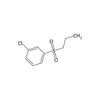 CCCS(=O)(=O)c1cccc(Cl)c1